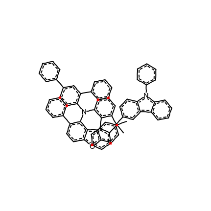 CC1(C)c2ccccc2-c2c(N(c3ccc(-c4ccccc4)cc3-c3ccccc3)c3c(-c4ccccc4)ccc4oc5ccc(-c6ccc7c(c6)c6ccccc6n7-c6ccccc6)cc5c34)cccc21